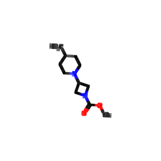 CC(C)(C)OC(=O)N1CC(N2CCC(C(=O)O)CC2)C1